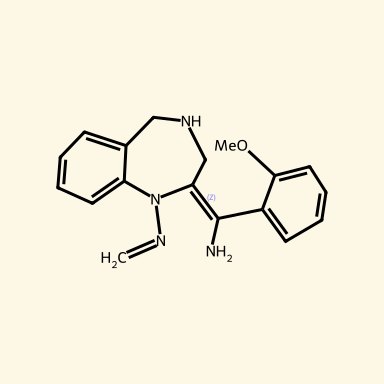 C=NN1/C(=C(\N)c2ccccc2OC)CNCc2ccccc21